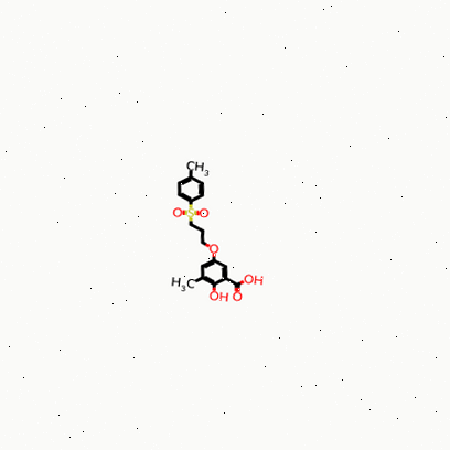 Cc1ccc(S(=O)(=O)CCCOc2cc(C)c(O)c(C(=O)O)c2)cc1